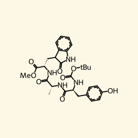 COC(=O)[C@H](CC1C(=O)Nc2ccccc21)NC(=O)[C@@H](C)NC(=O)[C@H](Cc1ccc(O)cc1)NC(=O)OC(C)(C)C